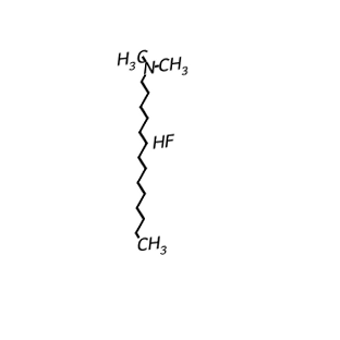 CCCCCCCCCCCCCCN(C)C.F